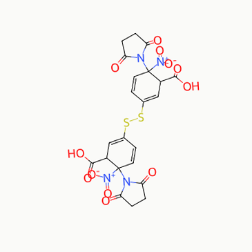 O=C(O)C1C=C(SSC2=CC(C(=O)O)C(N3C(=O)CCC3=O)([N+](=O)[O-])C=C2)C=CC1(N1C(=O)CCC1=O)[N+](=O)[O-]